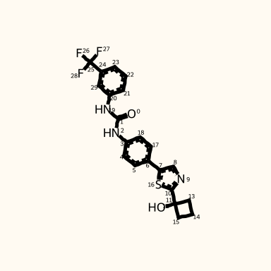 O=C(Nc1ccc(-c2cnc(C3(O)CCC3)s2)cc1)Nc1cccc(C(F)(F)F)c1